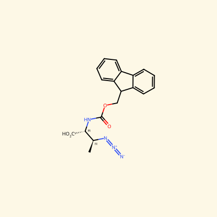 C[C@H](N=[N+]=[N-])[C@@H](NC(=O)OCC1c2ccccc2-c2ccccc21)C(=O)O